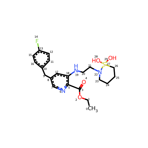 CCOC(=O)c1ncc(Cc2ccc(F)cc2)cc1NCCN1CCCCS1(O)O